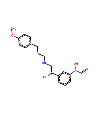 COc1ccc(CCCNCC(O)c2cccc(N(O)C=O)c2)cc1